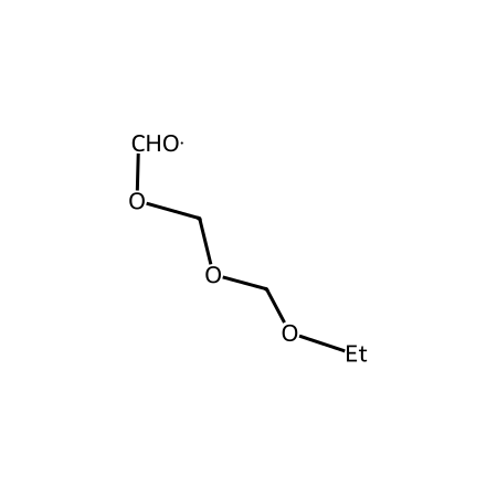 CCOCOCO[C]=O